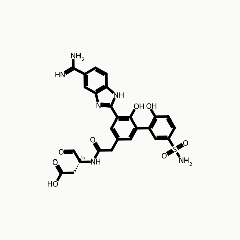 N=C(N)c1ccc2[nH]c(-c3cc(CC(=O)N[C@@H](C=O)CC(=O)O)cc(-c4cc(S(N)(=O)=O)ccc4O)c3O)nc2c1